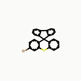 Brc1ccc2c(c1)Sc1ccccc1C21c2ccccc2-c2ccccc21